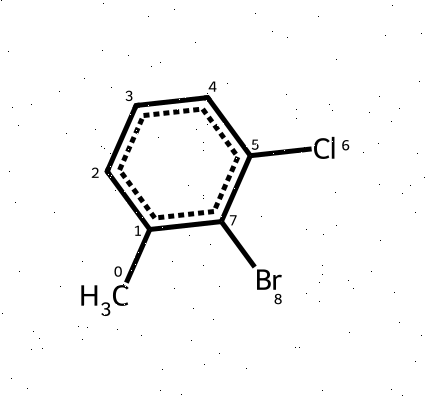 Cc1cccc(Cl)c1Br